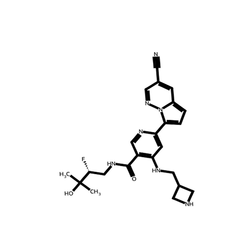 CC(C)(O)[C@H](F)CNC(=O)c1cnc(-c2ccc3cc(C#N)cnn23)cc1NCC1CNC1